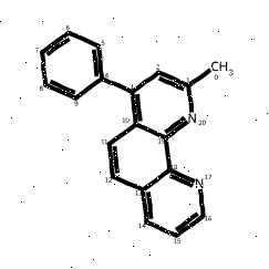 Cc1cc(-c2ccccc2)c2ccc3cccnc3c2n1